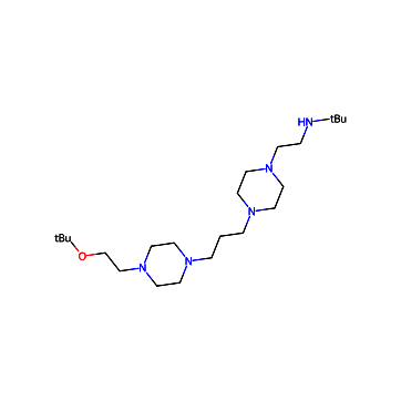 CC(C)(C)NCCN1CCN(CCCN2CCN(CCOC(C)(C)C)CC2)CC1